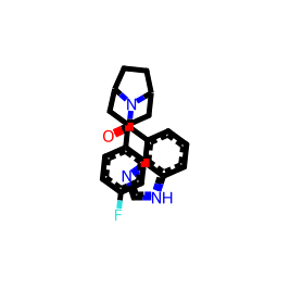 O=C(c1cccc2[nH]cnc12)N1C2CCC1CC(c1ccc(F)cc1)C2